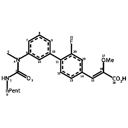 CCCCCNC(=O)N(C)c1cccc(-c2ccc(/C=C(\OC)C(=O)O)cc2F)c1